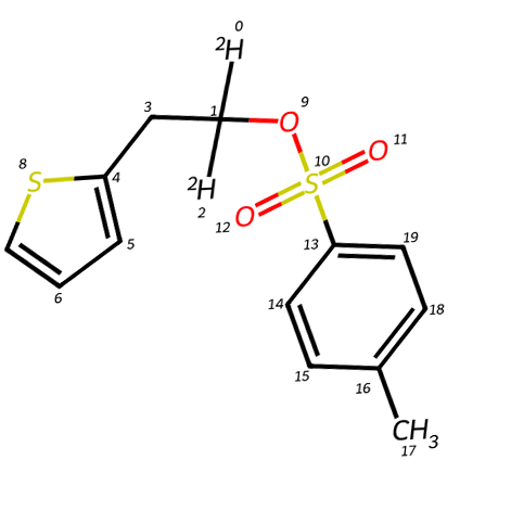 [2H]C([2H])(Cc1cccs1)OS(=O)(=O)c1ccc(C)cc1